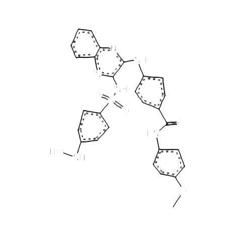 COc1ccc(NC(=O)c2ccc(Nc3nc4ccccc4nc3NS(=O)(=O)c3ccc(NO)cc3)cc2)cc1